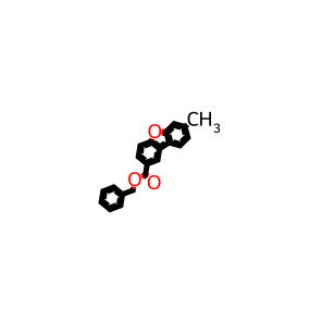 Cc1ccc2c(c1)oc1ccc(C(=O)OCc3ccccc3)cc12